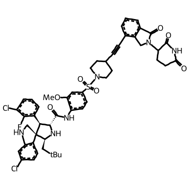 COc1cc(S(=O)(=O)N2CCC(C#Cc3cccc4c3CN(C3CCC(=O)NC3=O)C4=O)CC2)ccc1NC(=O)[C@@H]1N[C@@H](CC(C)(C)C)[C@@]2(CNc3cc(Cl)ccc32)[C@H]1c1cccc(Cl)c1F